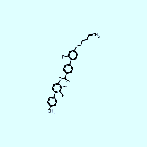 C=CCCCOc1ccc(-c2ccc(C(=O)Oc3ccc(-c4ccc(C)cc4)c(F)c3F)cc2)c(F)c1